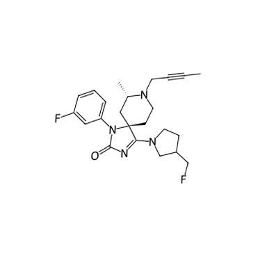 CC#CCN1CC[C@@]2(C[C@@H]1C)C(N1CCC(CF)C1)=NC(=O)N2c1cccc(F)c1